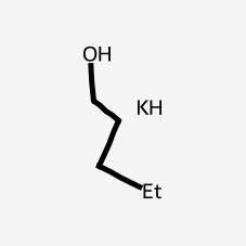 CCCCCO.[KH]